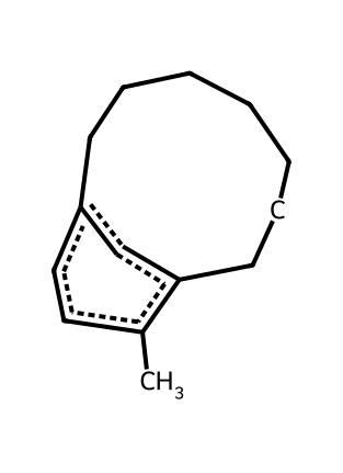 Cc1ccc2cc1CCCCCCC2